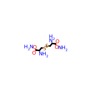 NOC(=O)[C@@H](N)CSSC[C@H](N)C(=O)ON